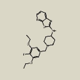 CCOc1cc(CN2CCC(Nc3nc4cccnc4o3)CC2)cc(OCC)c1F